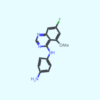 COc1cc(F)cc2ncnc(Nc3ccc(N)cc3)c12